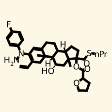 C=CC1=C(N(N)c2ccc(F)cc2)C=C2CCC3[C@H]([C@@H](O)CC4(C)[C@H]3CCC4(OC(=O)C3CCCO3)C(=O)SCCC)C2(C)C1